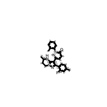 Cc1ccccc1-n1nc(-c2c(-c3ccc(F)cc3F)nn3c2NC(C)CC3)ccc1=O